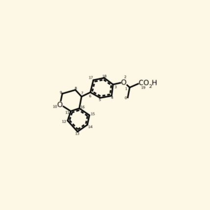 CC(Oc1ccc(C2CCOc3ccccc32)cc1)C(=O)O